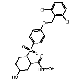 O=C(NO)C1CC(O)CCN1S(=O)(=O)c1ccc(OCc2c(Cl)cccc2Cl)cc1